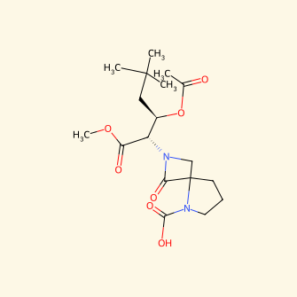 COC(=O)[C@H]([C@@H](CC(C)(C)C)OC(C)=O)N1CC2(CCCN2C(=O)O)C1=O